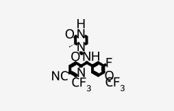 C[C@@H]1C(=O)NCCN1C(=O)NC(c1ccc(OC(F)(F)F)c(F)c1)c1ccc(C#N)c(C(F)(F)F)n1